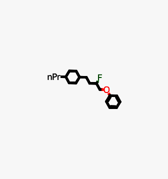 CCCC1CCC(CCC(F)COc2ccccc2)CC1